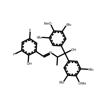 COc1c(C(C)(C)C)cc(C(O)(c2cc(C(C)(C)C)c(OC)c(C(C)(C)C)c2)C(C)N=Cc2cc(F)cc(F)c2O)cc1C(C)(C)C